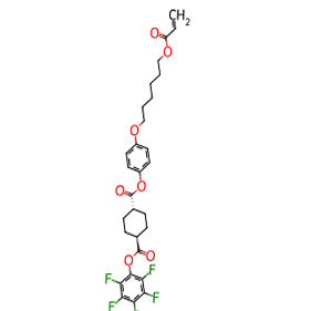 C=CC(=O)OCCCCCCOc1ccc(OC(=O)[C@H]2CC[C@H](C(=O)Oc3c(F)c(F)c(F)c(F)c3F)CC2)cc1